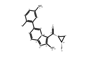 Cc1ccc(N)cc1-c1ccc2nc(N)c(C(=O)[C@@H]3C[C@@H]3F)n2c1